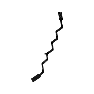 C#CCCC[CH]CCCCCC#C